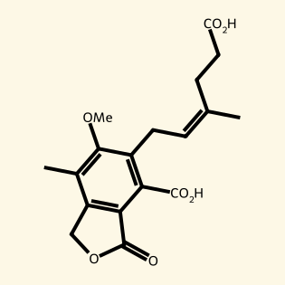 COc1c(C)c2c(c(C(=O)O)c1CC=C(C)CCC(=O)O)C(=O)OC2